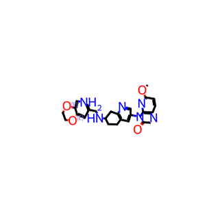 C=C(/C=C1/OCCO/C1=C/N)CNC1CCc2cc(-n3c(=O)cnc4ccc(OC)nc43)cnc2C1